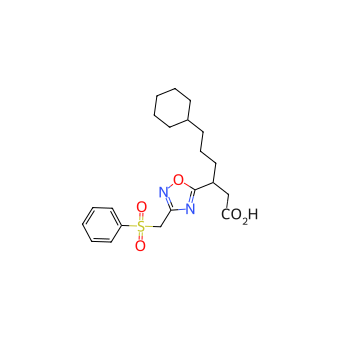 O=C(O)CC(CCCC1CCCCC1)c1nc(CS(=O)(=O)c2ccccc2)no1